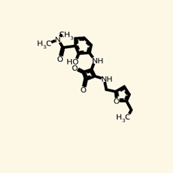 CCc1ccc(CNc2c(Nc3cccc(C(=O)N(C)C)c3O)c(=O)c2=O)o1